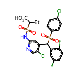 CCC(C(=O)O)S(=O)(=O)Nc1cc(C(c2cc(F)ccc2F)S(=O)(=O)c2ccc(Cl)cc2)c(Cl)cn1